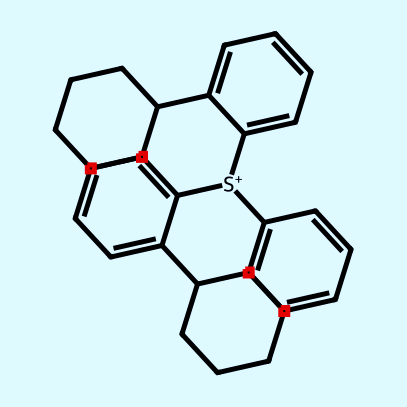 c1ccc([S+](c2ccccc2C2CCCCC2)c2ccccc2C2CCCCC2)cc1